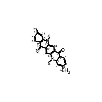 BC1=CC2C(C=C1)C(=O)c1cc3c(cc1N2C)c(=O)c1ccc(C)cc1n3C